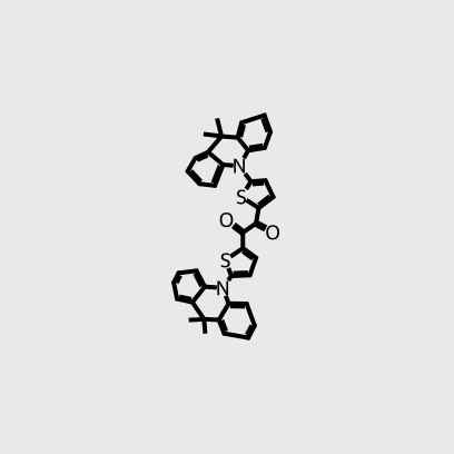 CC1(C)c2ccccc2N(c2ccc(C(=O)C(=O)c3ccc(N4c5ccccc5C(C)(C)c5ccccc54)s3)s2)c2ccccc21